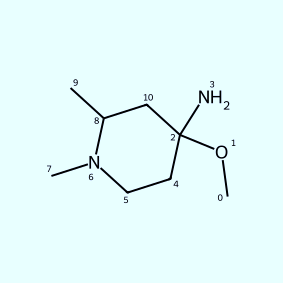 COC1(N)CCN(C)C(C)C1